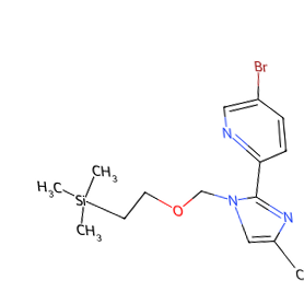 C[Si](C)(C)CCOCn1cc(C(F)(F)F)nc1-c1ccc(Br)cn1